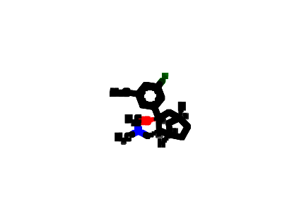 COc1cc(F)cc([C@@]2(O)C[C@H]3CC[C@H](C3)[C@@H]2CN(C)C)c1